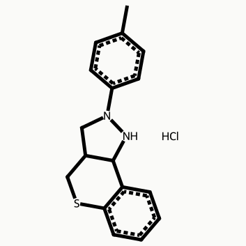 Cc1ccc(N2CC3CSc4ccccc4C3N2)cc1.Cl